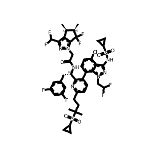 C[C@@H]1c2c(C(F)F)nn(CC(=O)N[C@@H](Cc3cc(F)cc(F)c3)c3nc(CCC(C)(C)S(=O)(=O)C4CC4)ccc3-c3ccc(Cl)c4c(NS(=O)(=O)C5CC5)nn(CC(F)F)c34)c2C(F)(F)[C@@H]1C